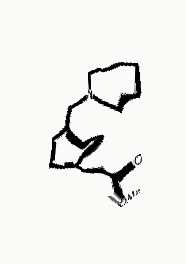 COC(=O)c1cccc(CN2CCCCC2)c1